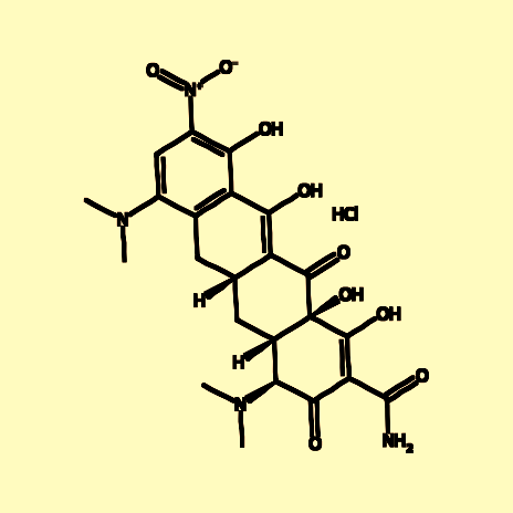 CN(C)c1cc([N+](=O)[O-])c(O)c2c1C[C@H]1C[C@H]3[C@H](N(C)C)C(=O)C(C(N)=O)=C(O)[C@@]3(O)C(=O)C1=C2O.Cl